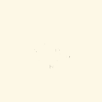 CC(C)(Br)C(=O)O.CCCSc1ccccn1